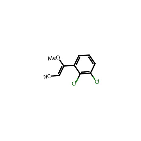 CO/C(=C\C#N)c1cccc(Cl)c1Cl